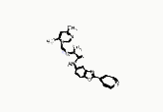 CC1=CC(C)=NCN1/C=N\C(C)C(=O)Nc1ccc2oc(-c3ccncc3)nc2c1